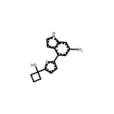 Nc1cc(-c2ccc(C3(O)CCC3)s2)c2cc[nH]c2c1